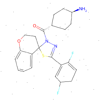 N[C@H]1CC[C@H](C(=O)N2N=C(C3=CC(F)CC=C3F)SC23CCOc2ccccc23)CC1